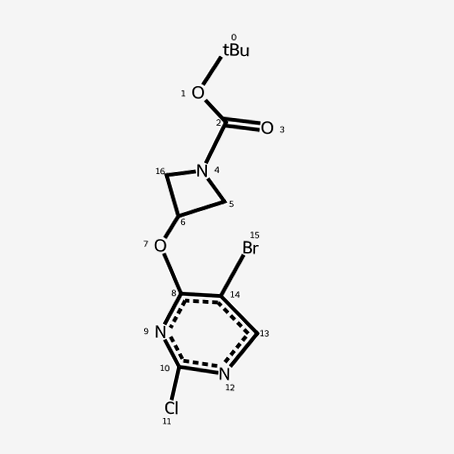 CC(C)(C)OC(=O)N1CC(Oc2nc(Cl)ncc2Br)C1